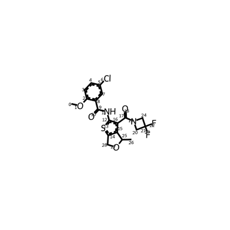 COc1ccc(Cl)cc1C(=O)Nc1sc2c(c1C(=O)N1CC(F)(F)C1)C(C)OC2